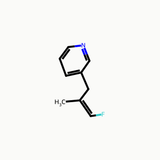 C/C(=C/F)Cc1cccnc1